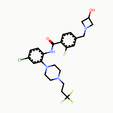 O=C(Nc1ccc(Cl)cc1N1CCN(CCC(F)(F)F)CC1)c1ccc(CN2CC(O)C2)cc1F